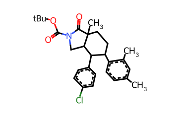 Cc1ccc(C2CCC3(C)C(=O)N(C(=O)OC(C)(C)C)CC3C2c2ccc(Cl)cc2)c(C)c1